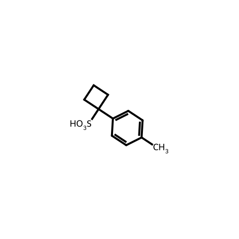 Cc1ccc(C2(S(=O)(=O)O)CCC2)cc1